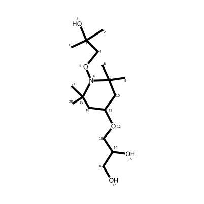 CC(C)(O)CON1C(C)(C)CC(OCC(O)CO)CC1(C)C